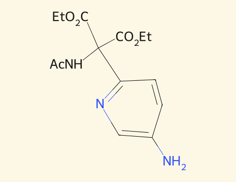 CCOC(=O)C(NC(C)=O)(C(=O)OCC)c1ccc(N)cn1